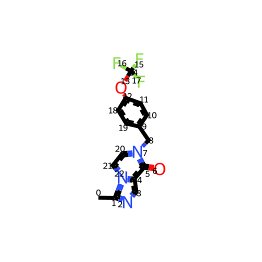 Cc1ncc2c(=O)n(Cc3ccc(OC(F)(F)F)cc3)ccn12